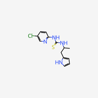 CC(Cc1ccc[nH]1)NC(=S)Nc1ccc(Cl)cn1